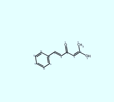 C/C(O)=C\C(=O)/C=C/c1ccccc1